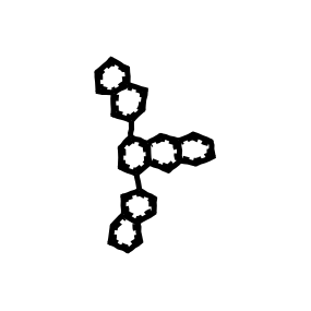 c1ccc2cc(-c3ccc(-c4ccc5ccccc5c4)c4cc5ccccc5cc34)ccc2c1